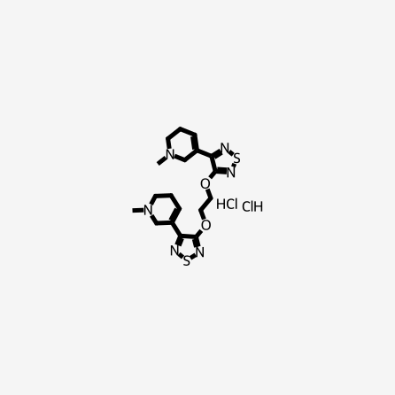 CN1CCC=C(c2nsnc2OCCOc2nsnc2C2=CCCN(C)C2)C1.Cl.Cl